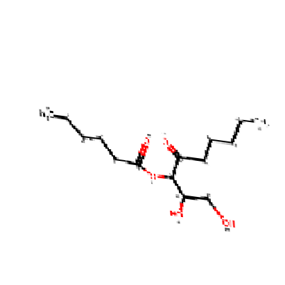 CCCCCC(=O)OC(C(=O)CCCCC)C(O)CO